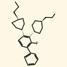 CCC[C@H]1CC[C@H](c2ccc(-c3ccccc3)c(F)c2[C@H]2CC[C@H](CCC)CC2)CC1